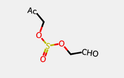 CC(=O)COS(=O)OCC=O